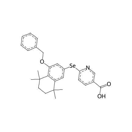 CC1(C)CCC(C)(C)c2c(OCc3ccccc3)cc([Se]c3ccc(C(=O)O)cn3)cc21